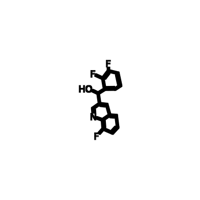 OC(c1cnc2c(F)cccc2c1)c1cccc(F)c1F